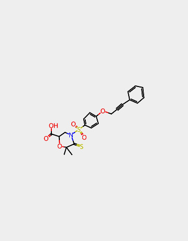 CC1(C)OC(C(=O)O)CN(S(=O)(=O)c2ccc(OCC#Cc3ccccc3)cc2)C1=S